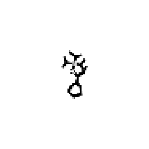 CC=C(O[Si](C(C)C)(C(C)C)C(C)C)c1ccccc1